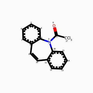 O=C(N1c2ccccc2C=Cc2ccccc21)C(Cl)(Cl)Cl